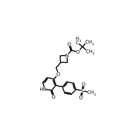 CC(C)(C)OC(=O)N1CC(COc2cc[nH]c(=O)c2-c2ccc(S(C)(=O)=O)cc2)C1